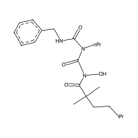 CCCN(C(=O)NCc1ccccc1)C(=O)N(O)C(=O)C(C)(C)CCC(C)C